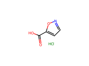 Cl.O=C(O)c1ccno1